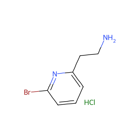 Cl.NCCc1cccc(Br)n1